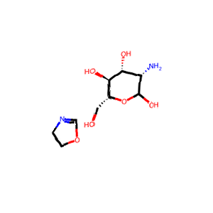 C1=NCCO1.N[C@@H]1C(O)O[C@H](CO)[C@@H](O)[C@@H]1O